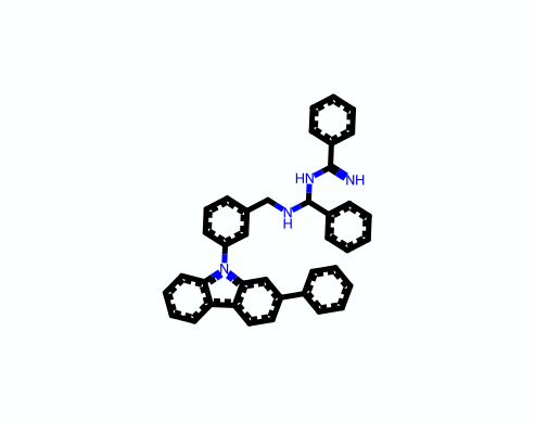 N=C(NC(NCc1cccc(-n2c3ccccc3c3ccc(-c4ccccc4)cc32)c1)c1ccccc1)c1ccccc1